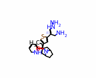 CCC1(C2=CC=CCN2)CC2CCC(C1)N2C(=O)c1csc(/C(=C/NN)CN)c1